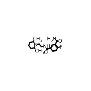 CC1CCCC(C)N1CCNC(=O)c1ccc(F)c(C(N)=O)c1